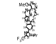 COc1ncnc(C2CC2)c1-c1ncc2cnn(C3(c4ccc(-c5nc(C(F)(F)F)cn5C(C)C)cc4)CC3)c2n1